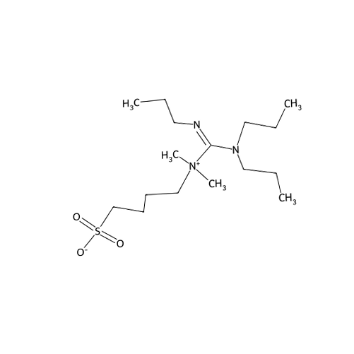 CCCN=C(N(CCC)CCC)[N+](C)(C)CCCCS(=O)(=O)[O-]